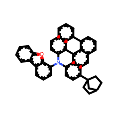 c1ccc(-c2cccc3cccc(-c4ccccc4N(c4ccc(C56CCC(CC5)C6)cc4)c4cccc5c4oc4ccccc45)c23)cc1